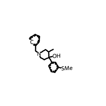 CSc1cccc(C2(O)CCN(Cc3ccccc3)CC2C)c1